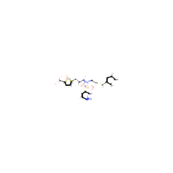 O=C(O)c1ccc(CCCN(CCSCc2ccccc2)S(=O)(=O)c2cccnc2)s1